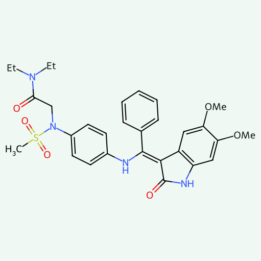 CCN(CC)C(=O)CN(c1ccc(N/C(=C2\C(=O)Nc3cc(OC)c(OC)cc32)c2ccccc2)cc1)S(C)(=O)=O